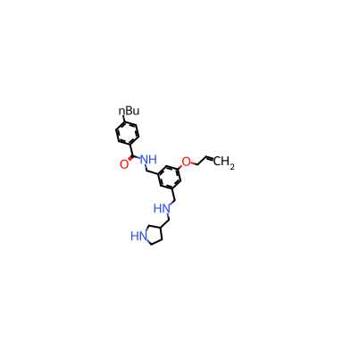 C=CCOc1cc(CNCC2CCNC2)cc(CNC(=O)c2ccc(CCCC)cc2)c1